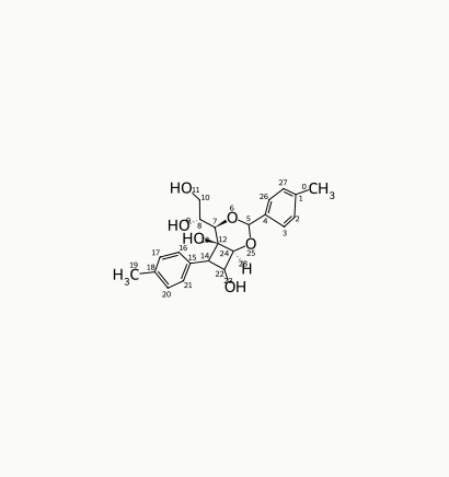 Cc1ccc(C2O[C@H]([C@H](O)CO)[C@@]3(O)C(c4ccc(C)cc4)C(O)[C@@H]3O2)cc1